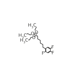 CCCO[Si](CCCCCCc1cc(F)c(F)cc1F)(OCCC)OCCC